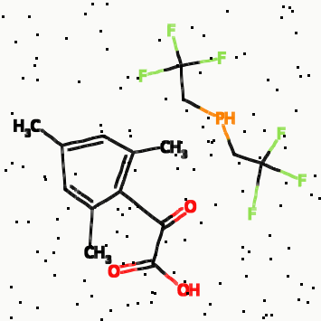 Cc1cc(C)c(C(=O)C(=O)O)c(C)c1.FC(F)(F)CPCC(F)(F)F